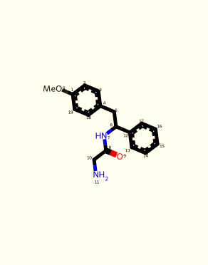 COc1ccc(CC(NC(=O)CN)c2ccccc2)cc1